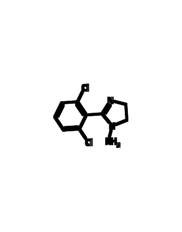 NN1CCN=C1c1c(Cl)cccc1Cl